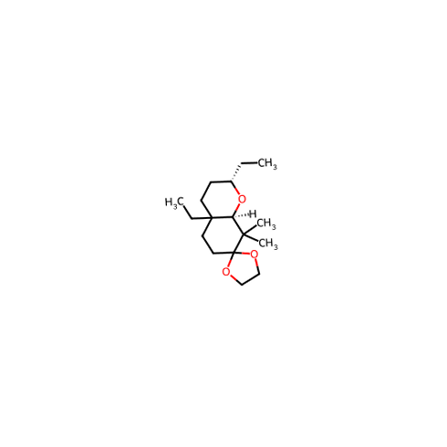 CC[C@H]1CCC2(CC)CCC3(OCCO3)C(C)(C)[C@@H]2O1